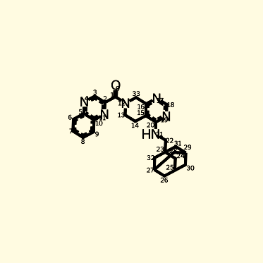 O=C(c1cnc2ccccc2n1)N1CCc2c(ncnc2NCC23CC4CC(CC(C4)C2)C3)C1